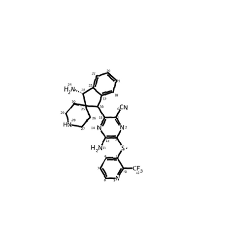 N#Cc1nc(Sc2cccnc2C(F)(F)F)c(N)nc1C1c2ccccc2[C@@H](N)C12CCNCC2